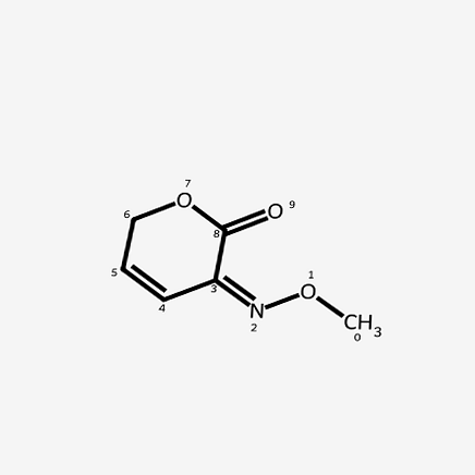 CO/N=C1/C=CCOC1=O